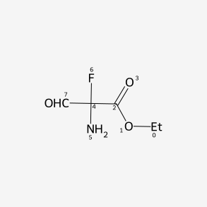 CCOC(=O)C(N)(F)C=O